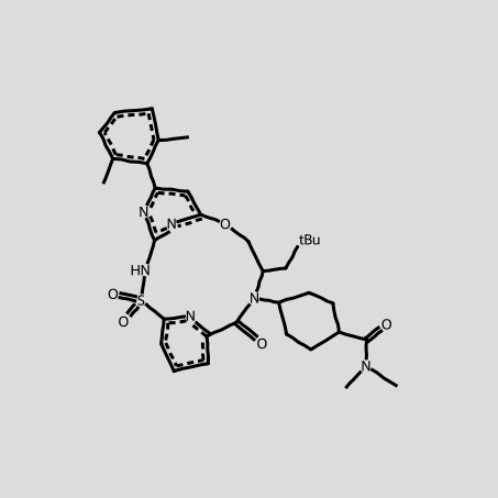 Cc1cccc(C)c1-c1cc2nc(n1)NS(=O)(=O)c1cccc(n1)C(=O)N(C1CCC(C(=O)N(C)C)CC1)C(CC(C)(C)C)CO2